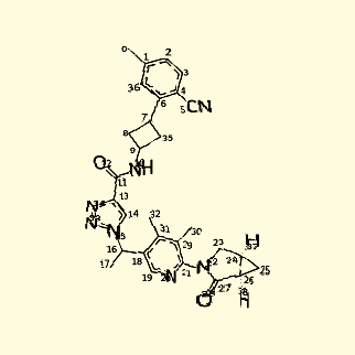 Cc1ccc(C#N)c(C2CC(NC(=O)c3cn(C(C)c4cnc(N5C[C@H]6C[C@H]6C5=O)c(C)c4C)nn3)C2)c1